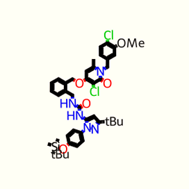 COc1cc(Cn2c(C)cc(OCc3ccccc3CNC(=O)Nc3cc(C(C)(C)C)nn3-c3ccc(O[Si](C)(C)C(C)(C)C)cc3)c(Cl)c2=O)ccc1Cl